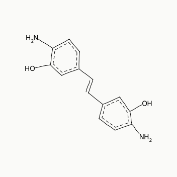 Nc1ccc(/C=C/c2ccc(N)c(O)c2)cc1O